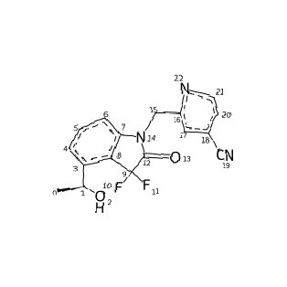 C[C@H](O)c1cccc2c1C(F)(F)C(=O)N2Cc1cc(C#N)ccn1